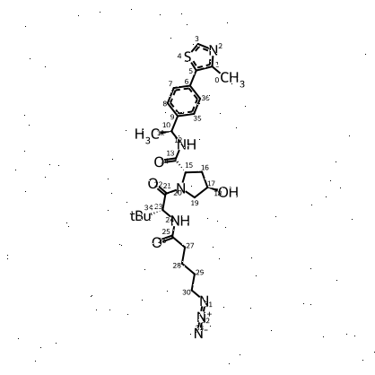 Cc1ncsc1-c1ccc([C@H](C)NC(=O)[C@@H]2C[C@@H](O)CN2C(=O)[C@H](NC(=O)CCCCN=[N+]=[N-])C(C)(C)C)cc1